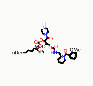 CCCCCCCCCCCCCCC(CCC)OC(=O)OC(C(=O)N1CCNCC1)C(COC(=O)NCC1=CC=CCN1C(=O)c1ccccc1OC)OC